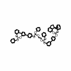 c1ccc(OP(OCCOP(Oc2ccccc2)Oc2cccc(-c3ccc(OP4Oc5cccc6c5C5(CC6)CCc6cccc(c65)O4)cc3)c2)Oc2ccc(-c3ccc4c(c3)op(Oc3ccccc3)oc3ccccc34)cc2)cc1